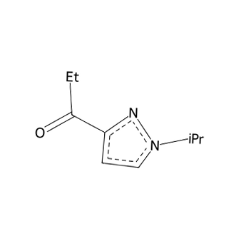 CCC(=O)c1ccn(C(C)C)n1